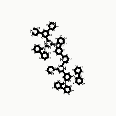 c1ccc(-c2cc(-c3cc(-n4c5ccccc5c5ccccc54)cc(-n4c5ccccc5c5ccccc54)c3)nc(-c3cccc(-c4ccc5c(c4)c4ccccc4n5-c4nc(-c5cc(-c6ccncc6)cc(-c6ccncc6)c5)nc(-n5c6ccccc6c6ccccc65)n4)n3)n2)nc1